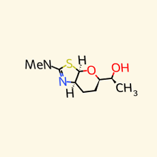 CNC1=N[C@@H]2CC[C@H]([C@H](C)O)O[C@@H]2S1